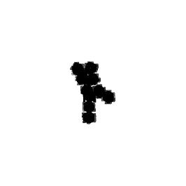 c1ccc(-c2ccc(-c3nc(-c4cccc(-c5ccccc5)c4)c4cc(-n5c6ccccc6c6c5ccc5c7ccccc7n(-c7ccccc7)c56)ccc4n3)cc2)cc1